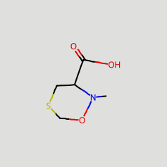 CN1OCSCC1C(=O)O